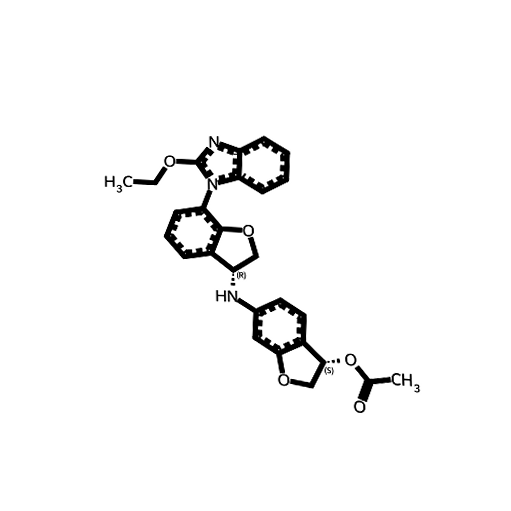 CCOc1nc2ccccc2n1-c1cccc2c1OC[C@@H]2Nc1ccc2c(c1)OC[C@H]2OC(C)=O